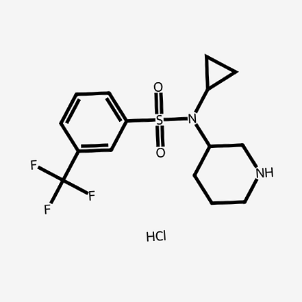 Cl.O=S(=O)(c1cccc(C(F)(F)F)c1)N(C1CC1)C1CCCNC1